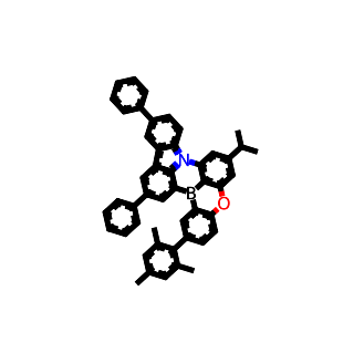 Cc1cc(C)c(-c2ccc3c(c2)B2c4c(cc(C(C)C)cc4-n4c5ccc(-c6ccccc6)cc5c5cc(-c6ccccc6)cc2c54)O3)c(C)c1